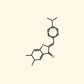 CC1C=C2O/C(=C\c3ccc(N(C)C)cc3)C(=O)C2=CC1I